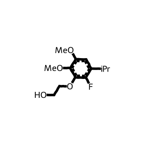 COc1cc(C(C)C)c(F)c(OCCO)c1OC